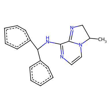 CC1CN=C2C(NC(c3ccccc3)c3ccccc3)=NC=CN21